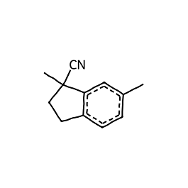 Cc1ccc2c(c1)C(C)(C#N)CC2